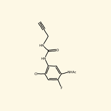 C#CCNC(=O)Nc1cc(NC(C)=O)c(F)cc1Cl